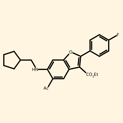 CCOC(=O)c1c(-c2ccc(F)cc2)oc2cc(NCC3CCCC3)c(C(C)=O)cc12